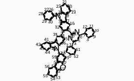 c1ccc(-c2cc(-c3ccccc3)nc(-c3cc4c5ccccc5n(-c5ccccc5)c4cc3-c3ccc4c(c3)c3ccccc3n4-c3ccc4oc5ccccc5c4c3)n2)cc1